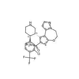 NC(=O)c1sc2c(c1[C@H]1CNCC[C@@H]1c1ccc(C(F)(F)F)c(Cl)c1)-c1ccnn1CCO2